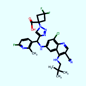 Cc1nc(F)ccc1C(Nc1cc(Cl)c2ncc(C#N)c(NCC(C)(C)C)c2c1)c1cn(C2(C(=O)O)CC(F)(F)C2)nn1